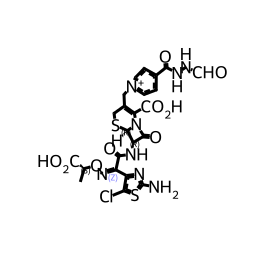 C[C@H](O/N=C(\C(=O)N[C@@H]1C(=O)N2C(C(=O)O)=C(C[n+]3ccc(C(=O)NNC=O)cc3)CS[C@H]12)c1nc(N)sc1Cl)C(=O)O